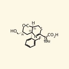 CC(C)(C)N(C(=O)O)C1=N[C@@]2(c3ccccc3F)C[C@H](CO)OC[C@H]2CS1